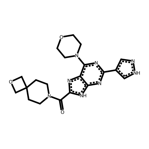 O=C(c1nc2c(N3CCOCC3)nc(-c3cn[nH]c3)nc2[nH]1)N1CCC2(CC1)COC2